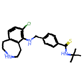 CC(C)(C)NC(=S)c1ccc(CNc2c(Cl)ccc3c2CCNCC3)cc1